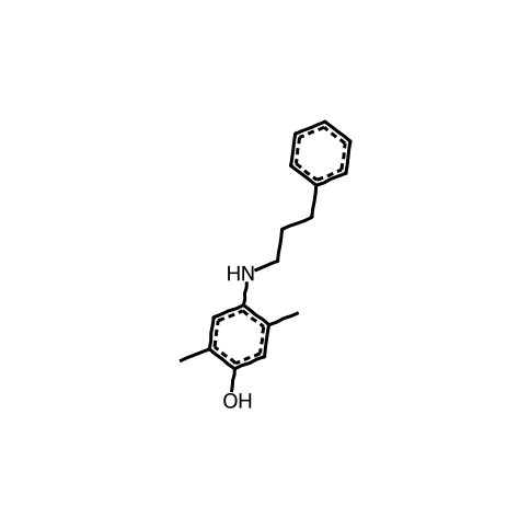 Cc1cc(NCCCc2ccccc2)c(C)cc1O